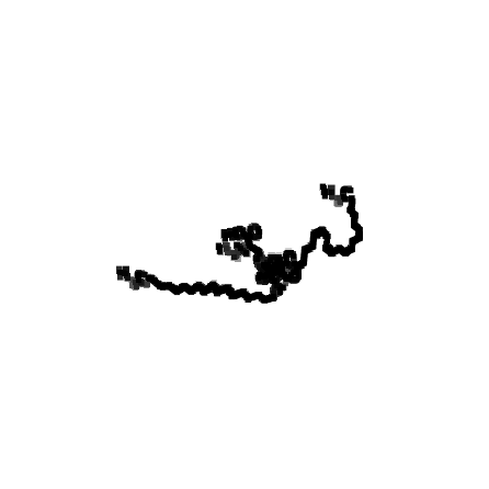 CCCCC/C=C\C/C=C\C/C=C\C/C=C\CCCC(=O)O[C@H](CO/C=C\CCCCCCCCCCCCCCCC)COP(=O)(O)OC[C@H](N)C(=O)O